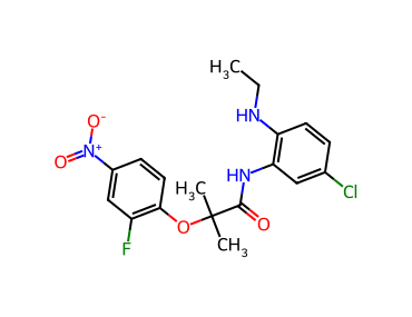 CCNc1ccc(Cl)cc1NC(=O)C(C)(C)Oc1ccc([N+](=O)[O-])cc1F